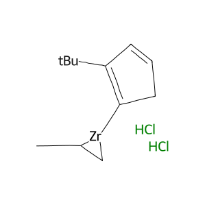 C[CH]1[CH2][Zr]1[C]1=C(C(C)(C)C)C=CC1.Cl.Cl